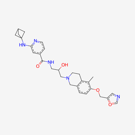 Cc1c(OCc2cnco2)ccc2c1CCN(CC(O)CNC(=O)c1ccnc(NC34CC(C3)C4)c1)C2